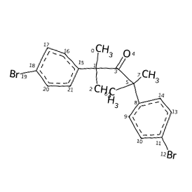 CC(C)(C(=O)C(C)(C)c1ccc(Br)cc1)c1ccc(Br)cc1